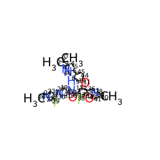 CC(C)c1ccc(-c2ccc(Oc3cc(C(=O)NC4CCN(C5CCN(C)CC5F)CC4)c(F)cc3CN3C[C@@H](C)CC3=O)cc2)nn1